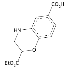 CCOC(=O)C1CNc2cc(C(=O)O)ccc2O1